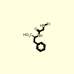 CCNCC(=O)N[C@@H](Cc1ccccc1)C(=O)O